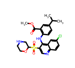 COC(=O)c1cc(C(C)C)ccc1Nc1c(S(=O)(=O)C2CNCCO2)cnc2ccc(Cl)cc12